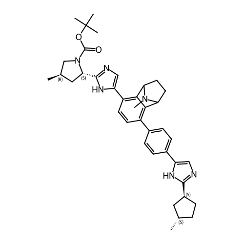 C[C@@H]1C[C@@H](c2ncc(-c3ccc(-c4ccc(-c5cnc([C@H]6CC[C@H](C)C6)[nH]5)cc4)c4c3C3CCC4N3C)[nH]2)N(C(=O)OC(C)(C)C)C1